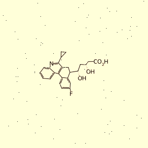 O=C(O)C[C@H](O)C[C@H](O)C1Cc2c(C3CC3)nc3ccccc3c2-c2ccc(F)cc21